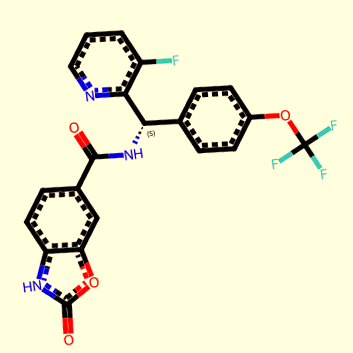 O=C(N[C@@H](c1ccc(OC(F)(F)F)cc1)c1ncccc1F)c1ccc2[nH]c(=O)oc2c1